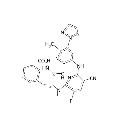 Cc1ncc(Nc2nc(N[C@H](Cc3ccccc3)[C@H](C)NC(=O)O)c(F)cc2C#N)cc1-n1nccn1